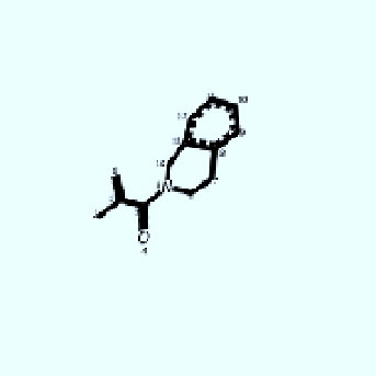 C=C(C)C(=O)N1CCc2ccccc2C1